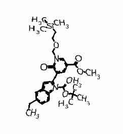 CCc1ccc2c(c1)cc(-c1cc(C(=O)OC)cn(COCC[Si](C)(C)C)c1=O)n2C(=O)OC(C)(C)C